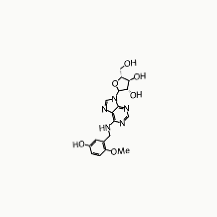 COc1ccc(O)cc1CNc1ncnc2c1ncn2C1O[C@H](CO)[C@@H](O)[C@@H]1O